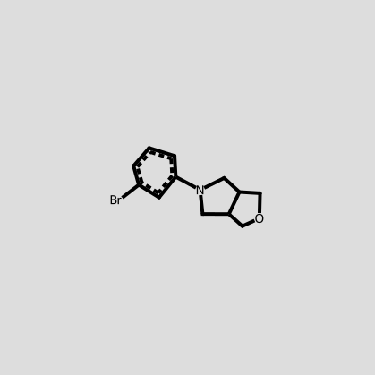 Brc1cccc(N2CC3COCC3C2)c1